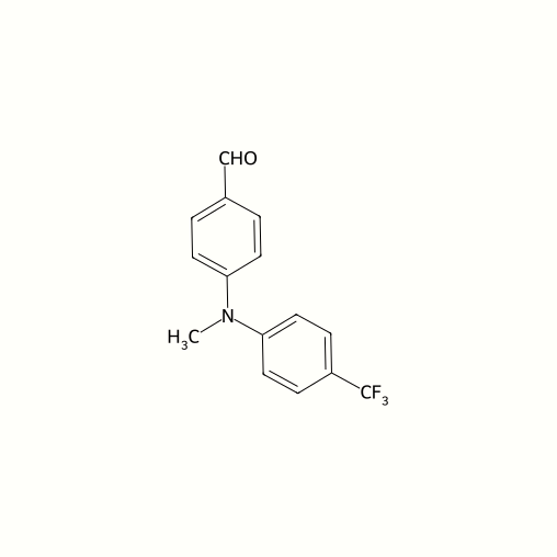 CN(c1ccc(C=O)cc1)c1ccc(C(F)(F)F)cc1